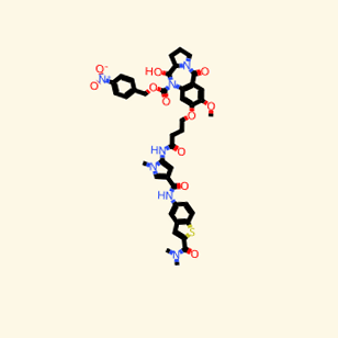 COc1cc2c(cc1OCCCC(=O)Nc1cc(C(=O)Nc3ccc4sc(C(=O)N(C)C)cc4c3)cn1C)N(C(=O)OCc1ccc([N+](=O)[O-])cc1)C(O)C1CCCN1C2=O